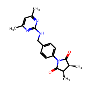 Cc1cc(C)nc(NCc2ccc(N3C(=O)[C@@H](C)[C@@H](C)C3=O)cc2)n1